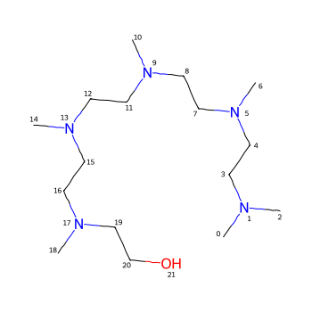 CN(C)CCN(C)CCN(C)CCN(C)CCN(C)CCO